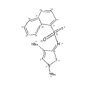 CCCCc1cn(C(C)(C)C)sc1=NS(=O)(=O)c1cccc2ccccc12